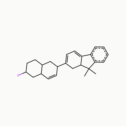 CC1(C)c2ccccc2C2=CC=C(C3C=CC4CC(I)CCC4C3)CC21